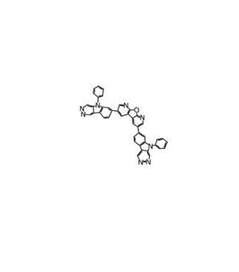 c1ccc(-n2c3cnncc3c3ccc(-c4cnc5oc6ncc(-c7ccc8c9cnncc9n(-c9ccccc9)c8c7)cc6c5c4)cc32)cc1